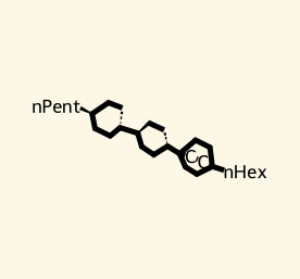 CCCCCCC12CCC([C@H]3CC[C@H]([C@H]4CC[C@H](CCCCC)CC4)CC3)(CC1)CC2